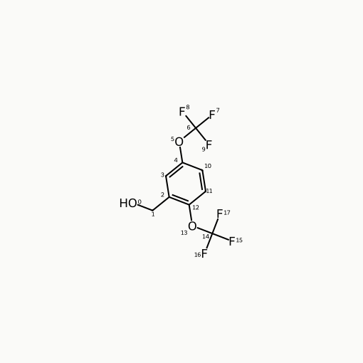 OCc1cc(OC(F)(F)F)ccc1OC(F)(F)F